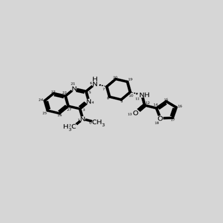 CN(C)c1nc(N[C@H]2CC[C@@H](NC(=O)c3ccco3)CC2)nc2ccccc12